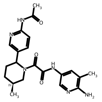 CC(=O)Nc1ccc(C2CC[C@H](C)CN2C(=O)C(=O)Nc2cnc(N)c(C)c2)cn1